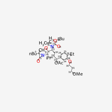 CCCCC1(C)C(=O)N1CC1OC(C)(C)N(C(=O)OC(C)(C)C)[C@H]1C[C@@H](C(C)C)C(OC(C)=O)c1ccc(CC)c(OCCCOC)c1